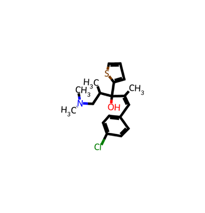 CC(=Cc1ccc(Cl)cc1)C(O)(c1cccs1)C(C)CN(C)C